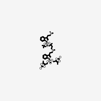 Cc1oc(=O)oc1COP(=O)(OCc1oc(=O)oc1C)n1cc(CCN(C)CCC(C)(C)OP(=O)(OC(C)(C)C)n2cc(CCN(C)C)c3ccccc32)c2ccccc21